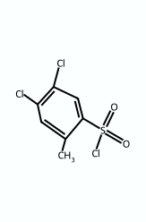 Cc1cc(Cl)c(Cl)cc1S(=O)(=O)Cl